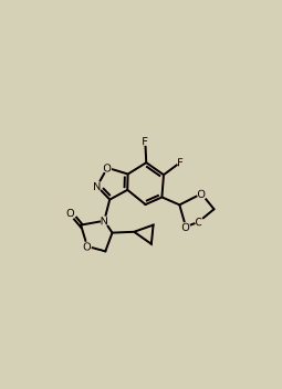 O=C1OCC(C2CC2)N1c1noc2c(F)c(F)c(C3OCCO3)cc12